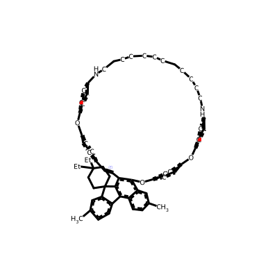 CCC1(CC)CCC2(CC1)c1cc(C)ccc1-c1c2c2c(c3cc(C)ccc13)Oc1ccc(cc1)Oc1ccc(cc1)NCCCCCCCCCCCCNc1ccc(cc1)Oc1ccc(cc1)/C=C\2